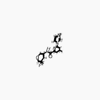 Cc1cc(C(=O)NC2COCC(F)(F)C2)nc(-n2ccnc2)c1